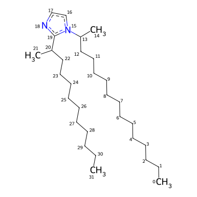 CCCCCCCCCCCCCC(C)n1ccnc1C(C)CCCCCCCCCC